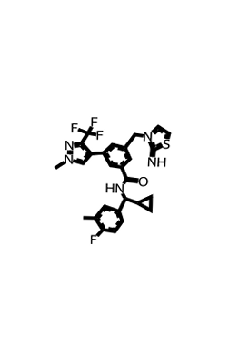 Cc1cc(C(NC(=O)c2cc(Cn3ccsc3=N)cc(-c3cn(C)nc3C(F)(F)F)c2)C2CC2)ccc1F